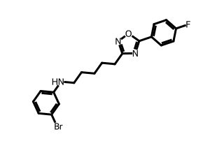 Fc1ccc(-c2nc(CCCCCNc3cccc(Br)c3)no2)cc1